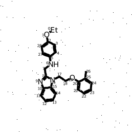 CCOc1ccc(NCc2nc3ccccc3n2CCOc2ccccc2C)cc1